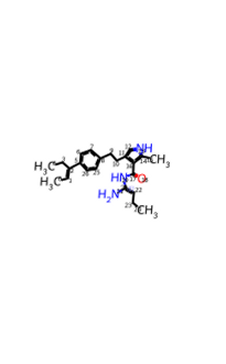 CC=C(CC)c1ccc(CCc2c[nH]c(C)c2C(=O)N/C(N)=C/CC)cc1